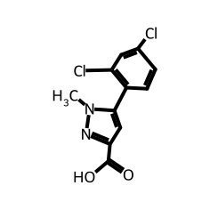 Cn1nc(C(=O)O)cc1-c1ccc(Cl)cc1Cl